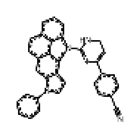 N#Cc1ccc(C2=CCNC(n3c4cccc5ccc6cc7c(ccn7-c7ccccc7)c3c6c54)=N2)cc1